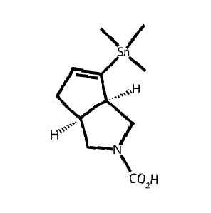 [CH3][Sn]([CH3])([CH3])[C]1=CC[C@@H]2CN(C(=O)O)C[C@H]12